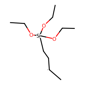 C[CH]CC[Si](OCC)(OCC)OCC